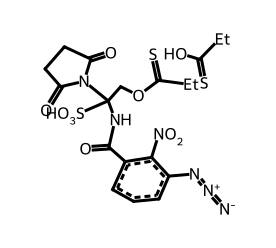 CCC(=S)OCC(NC(=O)c1cccc(N=[N+]=[N-])c1[N+](=O)[O-])(N1C(=O)CCC1=O)S(=O)(=O)O.CCC(O)=S